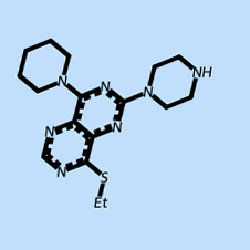 CCSc1ncnc2c(N3CCCCC3)nc(N3CCNCC3)nc12